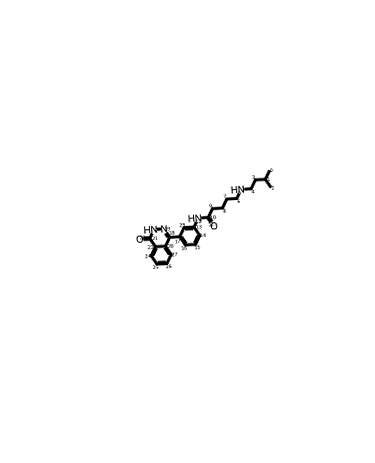 CC(C)CCNCCCCC(=O)Nc1cccc(-c2n[nH]c(=O)c3ccccc23)c1